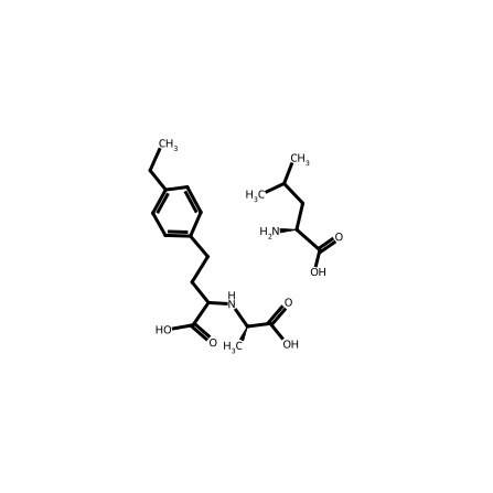 CC(C)C[C@H](N)C(=O)O.CCc1ccc(CCC(N[C@H](C)C(=O)O)C(=O)O)cc1